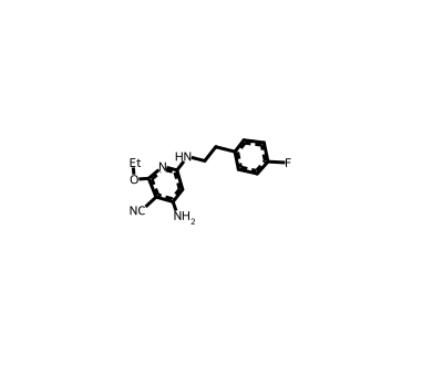 CCOc1nc(NCCc2ccc(F)cc2)cc(N)c1C#N